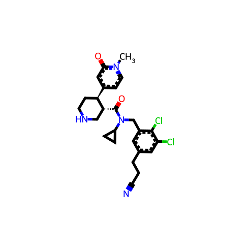 Cn1ccc([C@@H]2CCNC[C@H]2C(=O)N(Cc2cc(CCC#N)cc(Cl)c2Cl)C2CC2)cc1=O